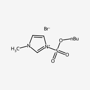 CCCCOS(=O)(=O)[n+]1ccn(C)c1.[Br-]